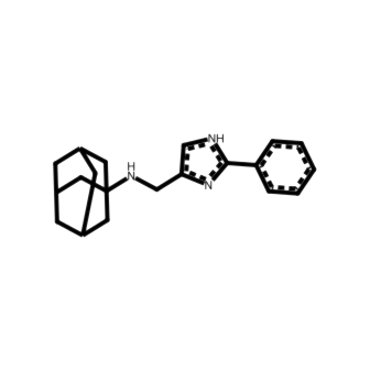 c1ccc(-c2nc(CNC34CC5CC(CC(C5)C3)C4)c[nH]2)cc1